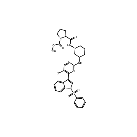 CC(C)(C)OC(=O)N1CCCC1C(=O)N[C@H]1CCC[C@@H](Nc2ncc(Cl)c(-c3cn(S(=O)(=O)c4ccccc4)c4ccccc34)n2)C1